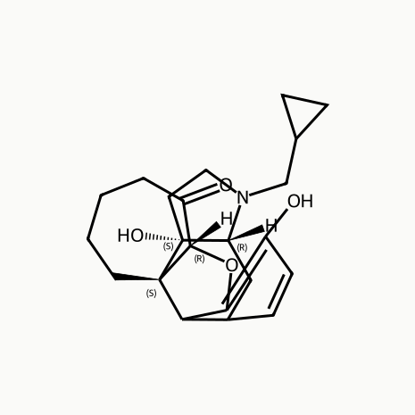 O=C1CCCC[C@@]23C4C(=C(O)C=CC4C[C@H]4N(CC5CC5)CC[C@@]42O)O[C@@H]13